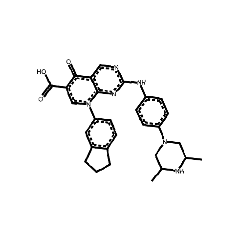 CC1CN(c2ccc(Nc3ncc4c(=O)c(C(=O)O)cn(-c5ccc6c(c5)CCC6)c4n3)cc2)CC(C)N1